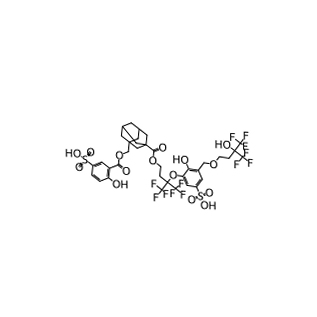 O=C(OCC12CC3CC(C1)CC(C(=O)OCCC(Oc1cc(S(=O)(=O)O)cc(COCCC(O)(C(F)(F)F)C(F)(F)F)c1O)(C(F)(F)F)C(F)(F)F)(C3)C2)c1cc(S(=O)(=O)O)ccc1O